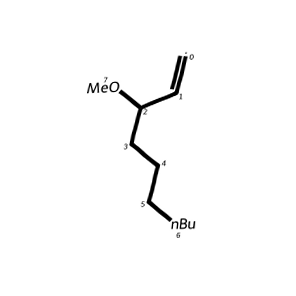 [CH]=CC(CCCCCCC)OC